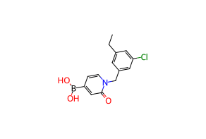 CCc1cc(Cl)cc(Cn2ccc(B(O)O)cc2=O)c1